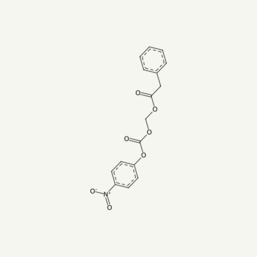 O=C(Cc1ccccc1)OCOC(=O)Oc1ccc([N+](=O)[O-])cc1